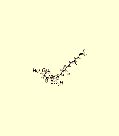 CC(C)=CCC/C(C)=C/CC/C(C)=C/CSC[C@H](NC(=O)[C@H](C)[C@H](C)C(=O)O)C(=O)O